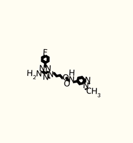 CCn1cnc2ccc(CNC(=O)OCCCCn3cnc4c(N)nc(-c5ccc(F)cc5)nc43)cc21